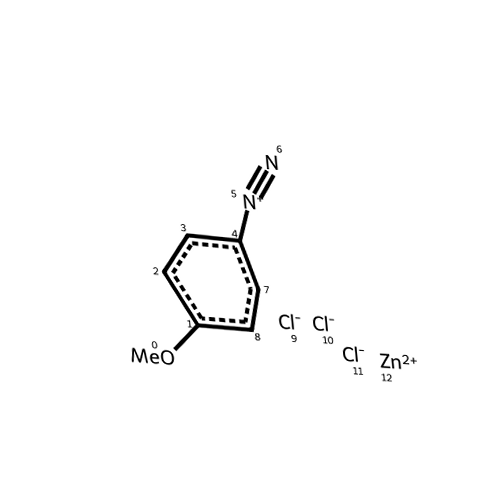 COc1ccc([N+]#N)cc1.[Cl-].[Cl-].[Cl-].[Zn+2]